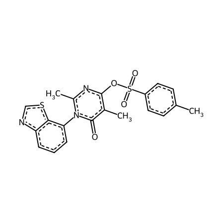 Cc1ccc(S(=O)(=O)Oc2nc(C)n(-c3cccc4ncsc34)c(=O)c2C)cc1